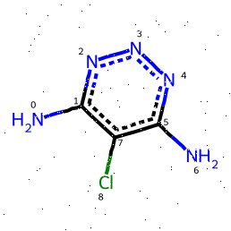 Nc1nnnc(N)c1Cl